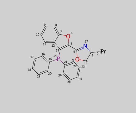 CC(C)C1COC(c2oc3ccccc3c2P(c2ccccc2)c2ccccc2)=N1